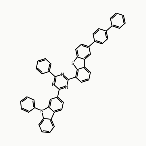 c1ccc(-c2ccc(-c3ccc4sc5c(-c6nc(-c7ccccc7)nc(-c7ccc8c9ccccc9n(-c9ccccc9)c8c7)n6)cccc5c4c3)cc2)cc1